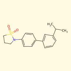 CC(C)c1cccc(-c2ccc(N3CCCS3(=O)=O)cc2)c1